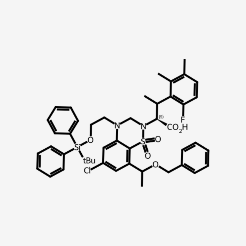 Cc1ccc(F)c(C(C)[C@@H](C(=O)O)N2CN(CCO[Si](c3ccccc3)(c3ccccc3)C(C)(C)C)c3cc(Cl)cc(C(C)OCc4ccccc4)c3S2(=O)=O)c1C